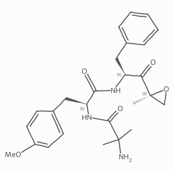 COc1ccc(C[C@H](NC(=O)C(C)(C)N)C(=O)N[C@@H](Cc2ccccc2)C(=O)[C@]2(C)CO2)cc1